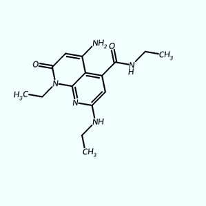 CCNC(=O)c1cc(NCC)nc2c1c(N)cc(=O)n2CC